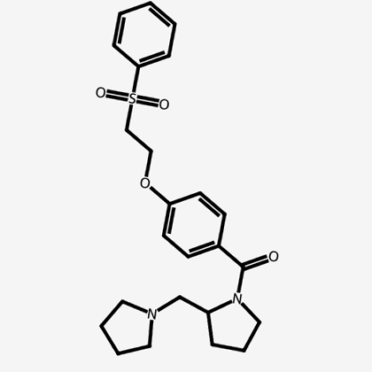 O=C(c1ccc(OCCS(=O)(=O)c2ccccc2)cc1)N1CCCC1CN1CCCC1